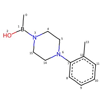 CB(O)N1CCN(c2ccccc2C)CC1